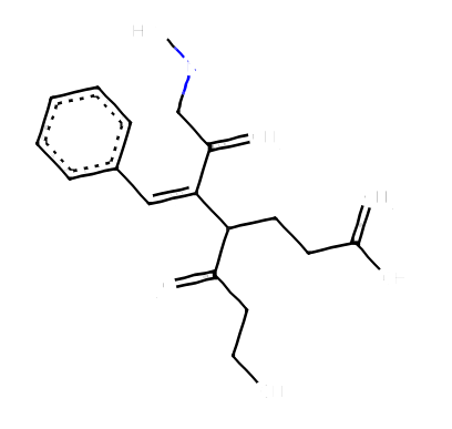 C=C(C)CCC(C(=C)CCC)/C(=C/c1ccccc1)C(=C)CNC